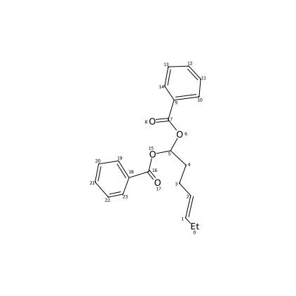 CCC=CCCC(OC(=O)c1ccccc1)OC(=O)c1ccccc1